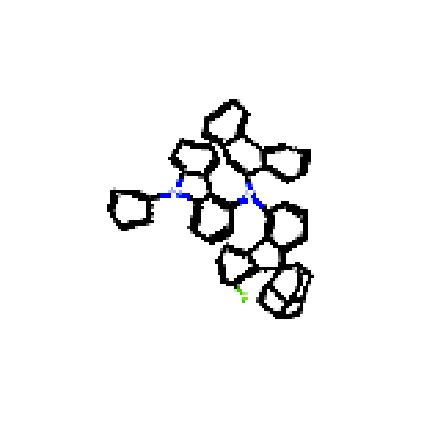 Fc1cccc2c1C1(c3cccc(N(c4cc5ccccc5c5ccccc45)c4cccc5c4c4ccccc4n5-c4ccccc4)c3-2)C2CC3CC(C2)CC1C3